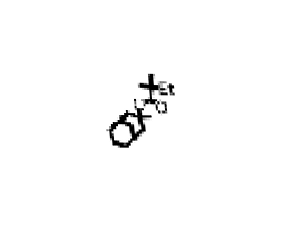 CCC(C)(C)C(=O)OC1(C)C=C2CCCC(C2)C1